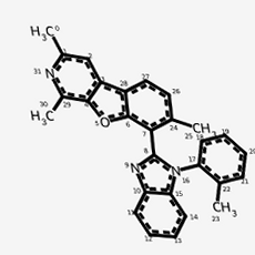 Cc1cc2c(oc3c(-c4nc5ccccc5n4-c4ccccc4C)c(C)ccc32)c(C)n1